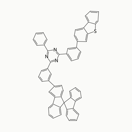 c1ccc(-c2nc(-c3cccc(-c4ccc5c(c4)-c4ccccc4C54c5ccccc5-c5ccccc54)c3)nc(-c3cccc(-c4ccc5c(c4)sc4ccccc45)c3)n2)cc1